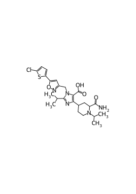 CC(C)c1nc(C2CCN(C(C)C)C(C(N)=O)C2)c(C(=O)O)n1Cc1cc(-c2ccc(Cl)s2)on1